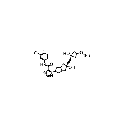 Cn1cnc(C2CC3CC(O)(C#CC4(O)CC(OC(C)(C)C)C4)CC3C2)c1C(=O)Nc1ccc(F)c(Cl)c1